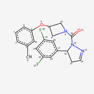 N#Cc1cccc(OC2CN(C(=O)N3N=CCC3c3cc(F)cc(F)c3)C2)c1